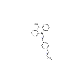 C/C=C/c1ccc(/C=C/B2c3ccccc3B(C(C)CC)c3ccccc32)cc1